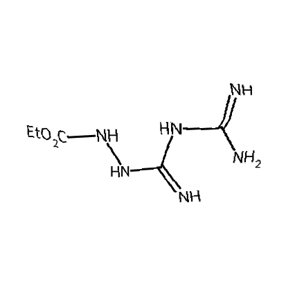 CCOC(=O)NNC(=N)NC(=N)N